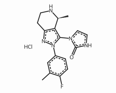 Cc1cc(-n2nc3c(c2-n2cc[nH]c2=O)[C@H](C)NCC3)ccc1F.Cl